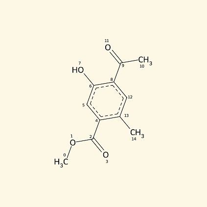 COC(=O)c1cc(O)c(C(C)=O)cc1C